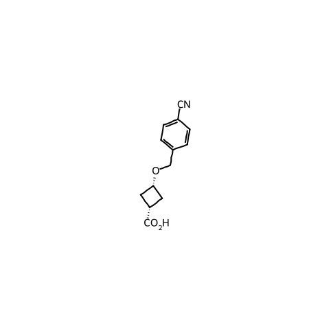 N#Cc1ccc(CO[C@H]2C[C@@H](C(=O)O)C2)cc1